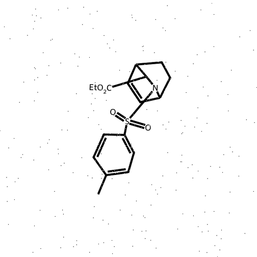 CCOC(=O)C1C2C=CC(CC2)N1S(=O)(=O)c1ccc(C)cc1